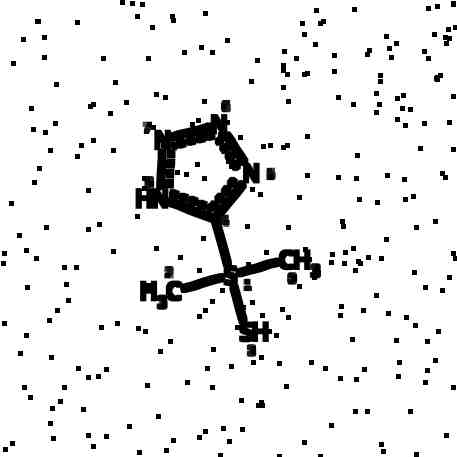 CS(C)(S)c1nnn[nH]1